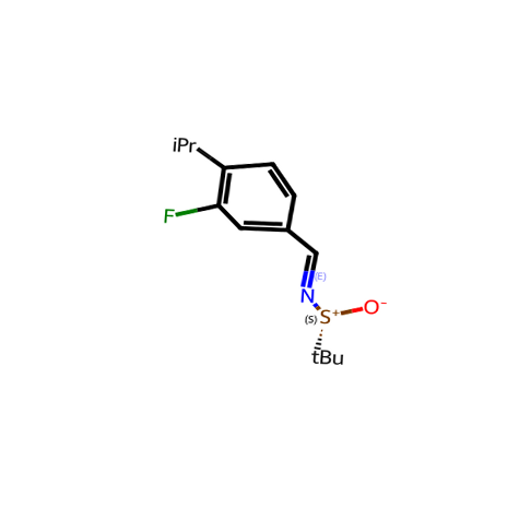 CC(C)c1ccc(/C=N/[S@+]([O-])C(C)(C)C)cc1F